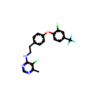 Cc1ncnc(NCCc2ccc(Oc3ccc(C(F)(F)F)cc3Cl)cc2)c1Cl